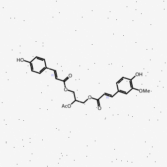 COc1cc(/C=C/C(=O)OCC(COC(=O)/C=C/c2ccc(O)cc2)OC(C)=O)ccc1O